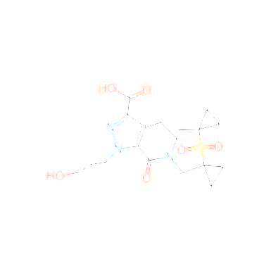 CC1(S(=O)(=O)C2(CN3CCc4c(C(=O)O)nn(CCCO)c4C3=O)CC2)CC1